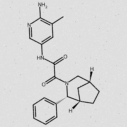 Cc1cc(NC(=O)C(=O)N2C[C@@H]3CC[C@@H](C3)[C@@H]2c2ccccc2)cnc1N